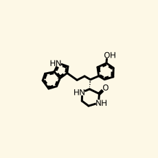 O=C1NCCN[C@@H]1C(CCc1c[nH]c2ccccc12)c1cccc(O)c1